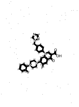 O=C(O)c1cn(-c2ccc(Cn3cncn3)cc2)c2cc(N3CCN(c4ccccc4F)CC3)c(F)cc2c1=O